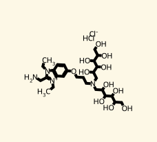 CCn1c(CN)[n+](CC)c2cc(OCCCN(CC(O)C(O)C(O)C(O)CO)CC(O)C(O)C(O)C(O)CO)ccc21.Cl.[Cl-]